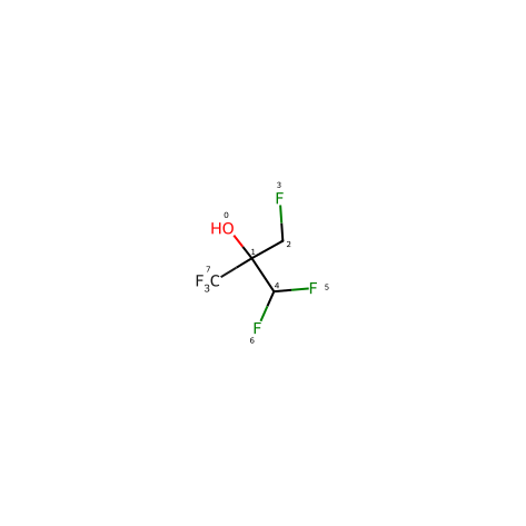 OC(CF)(C(F)F)C(F)(F)F